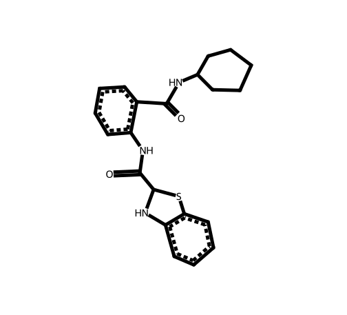 O=C(NC1CCCCC1)c1ccccc1NC(=O)C1Nc2ccccc2S1